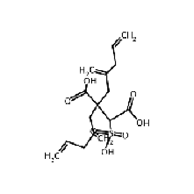 C=CCC(=C)CC(CC(=C)CC=C)(C(=O)O)C(C(=O)O)S(=O)(=O)O